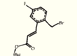 CC(C)(C)OC(=O)/C=C/c1cc(F)ccc1CBr